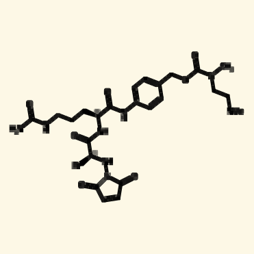 CNCCN(C)C(=O)OCc1ccc(NC(=O)[C@H](CCCNC(N)=O)NC(=O)[C@@H](NN2C(=O)C=CC2=O)C(C)C)cc1